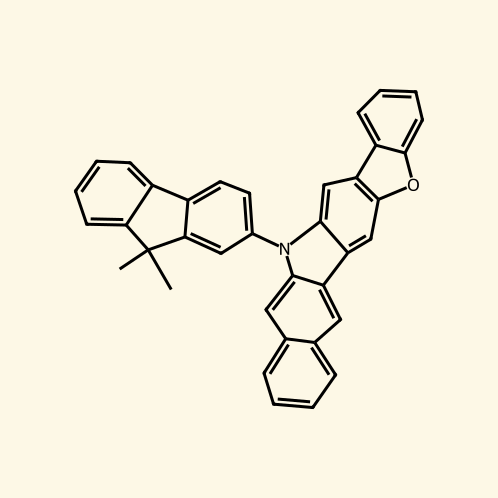 CC1(C)c2ccccc2-c2ccc(-n3c4cc5ccccc5cc4c4cc5oc6ccccc6c5cc43)cc21